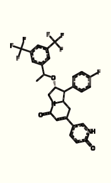 CC(O[C@H]1CN2C(=O)C=C(c3ccc(=O)[nH]c3)CC2C1c1ccc(F)cc1)c1cc(C(F)(F)F)cc(C(F)(F)F)c1